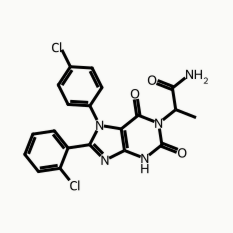 CC(C(N)=O)n1c(=O)[nH]c2nc(-c3ccccc3Cl)n(-c3ccc(Cl)cc3)c2c1=O